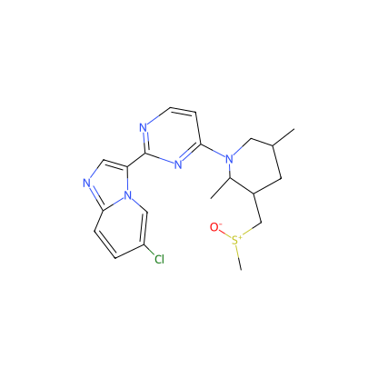 CC1CC(C[S+](C)[O-])C(C)N(c2ccnc(-c3cnc4ccc(Cl)cn34)n2)C1